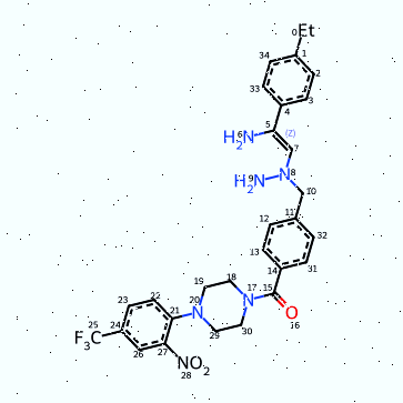 CCc1ccc(/C(N)=C/N(N)Cc2ccc(C(=O)N3CCN(c4ccc(C(F)(F)F)cc4[N+](=O)[O-])CC3)cc2)cc1